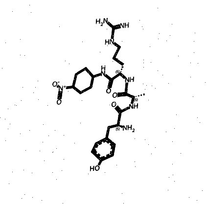 C[C@H](NC(=O)[C@@H](N)Cc1ccc(O)cc1)C(=O)N[C@@H](CCCNC(=N)N)C(=O)NC1CCC([N+](=O)[O-])CC1